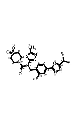 Cc1nnc(N(Cc2ccc(-c3nnc(C(F)F)o3)cc2F)C(=O)N2CCS(=O)(=O)CC2)s1